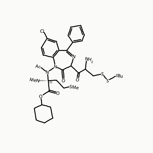 CN[C@](CCSC)(C(=O)OC1CCCCC1)N(C(C)=O)N1C(=O)C(C(=O)C(N)CSSC(C)(C)C)N=C(c2ccccc2)c2cc(Cl)ccc21